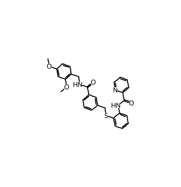 COc1ccc(CNC(=O)c2cccc(CSc3ccccc3NC(=O)c3ccccn3)c2)c(OC)c1